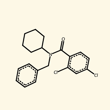 O=C(c1ccc(Cl)cc1Cl)N(Cc1ccccc1)C1CCCCC1